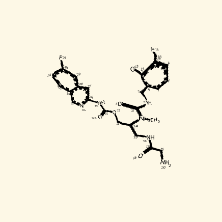 CN(C(=O)NCc1cccc(F)c1Cl)C(CNC(=O)CN)COC(=O)Nc1cc2cc(F)ccc2cn1